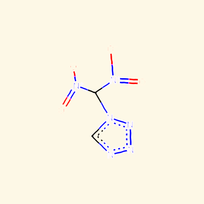 O=[N+]([O-])C(n1cnnn1)[N+](=O)[O-]